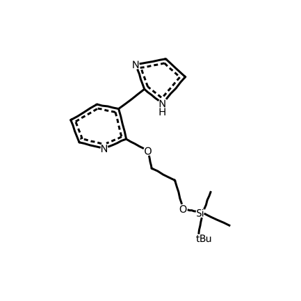 CC(C)(C)[Si](C)(C)OCCOc1ncccc1-c1ncc[nH]1